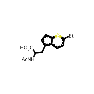 CCc1ccc2c(CC(NC(C)=O)C(=O)O)ccc-2s1